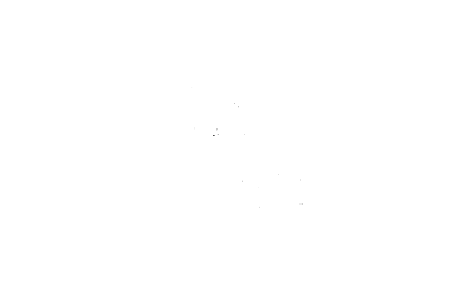 O=C(O)[C@@H]1C[C@](Sc2ccccc2)(C(=O)OCc2ccccc2)CN1